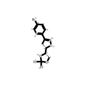 CCC1(CC)OC[C@@H]([C@@H]2CC(c3ccc(Br)cn3)=NO2)O1